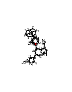 CC(=O)NC12CC3CC(C1)N(c1cnc(-c4cc(-c5cnn(C)c5)cn5ncc(C#N)c45)cn1)C(C3)C2